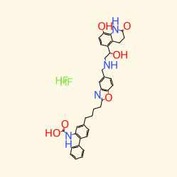 F.F.O=C(O)Nc1cc(CCCCc2nc3cc(CNC[C@H](O)c4ccc(O)c5c4CCC(=O)N5)ccc3o2)ccc1-c1ccccc1